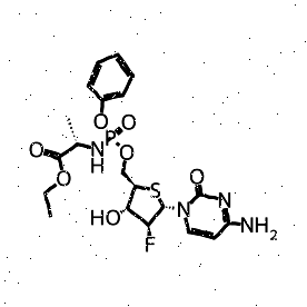 CCOC(=O)[C@H](C)NP(=O)(OC[C@H]1S[C@H](n2ccc(N)nc2=O)[C@@H](F)[C@@H]1O)Oc1ccccc1